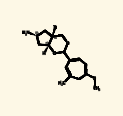 COC1=CC=C(C2OC[C@@H]3C[C@@H](N)C[C@@H]3O2)C=C(C)C1